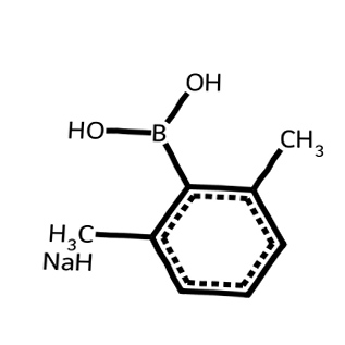 Cc1cccc(C)c1B(O)O.[NaH]